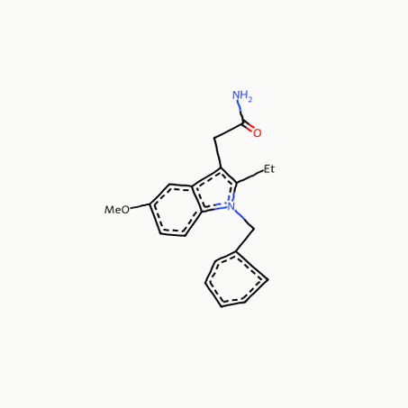 CCc1c(CC(N)=O)c2cc(OC)ccc2n1Cc1ccccc1